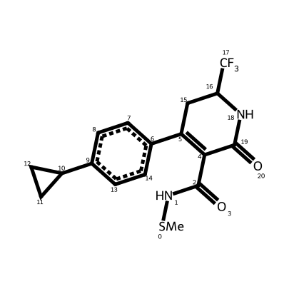 CSNC(=O)C1=C(c2ccc(C3CC3)cc2)CC(C(F)(F)F)NC1=O